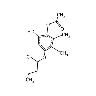 CCCC(Cl)Oc1cc(C)c(OC(C)=O)c(C)c1C